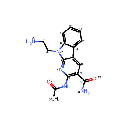 CC(=O)Nc1nc2c(cc1C(N)=O)c1ccccc1n2CCN